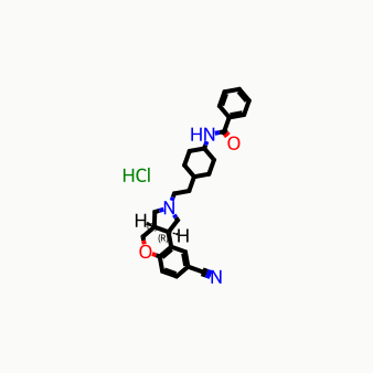 Cl.N#Cc1ccc2c(c1)[C@@H]1CN(CCC3CCC(NC(=O)c4ccccc4)CC3)C[C@H]1CO2